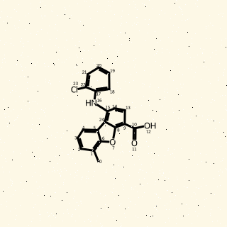 Cc1cccc2c1oc1c(C(=O)O)ccc(Nc3ccccc3Cl)c12